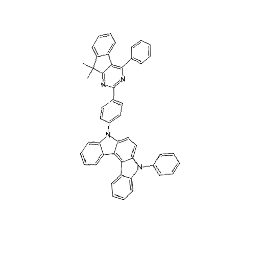 CC1(C)c2ccccc2-c2c(-c3ccccc3)nc(-c3ccc(-n4c5ccccc5c5c6c7ccccc7n(-c7ccccc7)c6ccc54)cc3)nc21